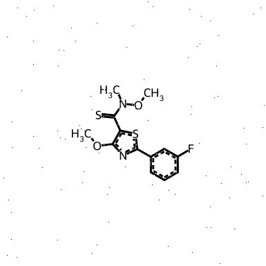 COc1nc(-c2cccc(F)c2)sc1C(=S)N(C)OC